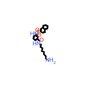 NCCCCCCCCNC(=O)c1cccc(NS(=O)(=O)c2ccc3ccccc3c2)c1